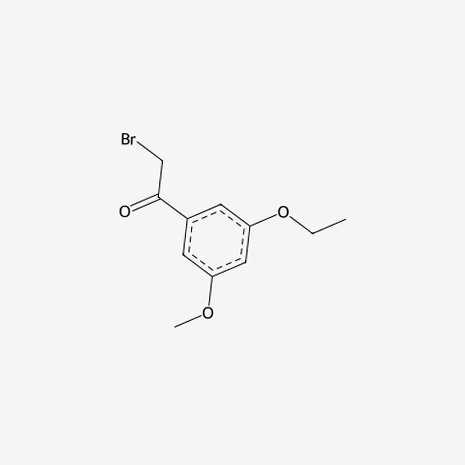 CCOc1cc(OC)cc(C(=O)CBr)c1